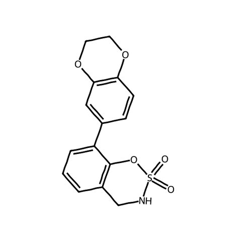 O=S1(=O)NCc2cccc(-c3ccc4c(c3)OCCO4)c2O1